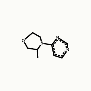 CC1COCCN1c1ccncn1